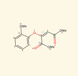 COC(=O)/C=C(/Oc1ccccc1OC)C(=O)OC